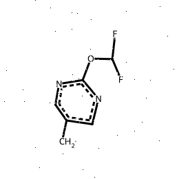 [CH2]c1cnc(OC(F)F)nc1